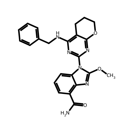 COc1nc2c(C(N)=O)cccc2n1-c1nc(NCc2ccccc2)c2c(n1)OCCC2